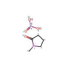 CP1CCCC1=O.O=[PH](O)O